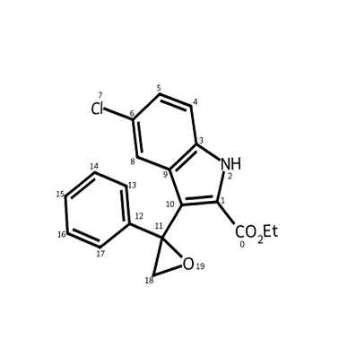 CCOC(=O)c1[nH]c2ccc(Cl)cc2c1C1(c2ccccc2)CO1